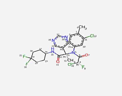 Cc1ccc(N(C(=O)[C@H](F)Cl)[C@@](C)(C(=O)NC2CCC(F)(F)CC2)c2cncnc2)cc1Cl